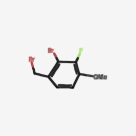 COc1ccc(CBr)c(Br)c1F